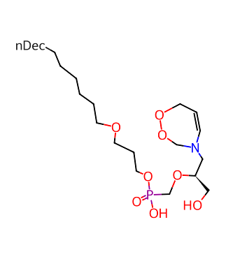 CCCCCCCCCCCCCCCCOCCCOP(=O)(O)CO[C@H](CO)CN1C=CCOOC1